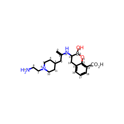 C=C(CC1CCN(CCN)CC1)NC1Cc2cccc(C(=O)O)c2OB1O